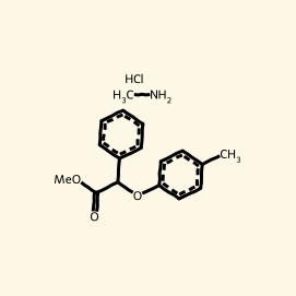 CN.COC(=O)C(Oc1ccc(C)cc1)c1ccccc1.Cl